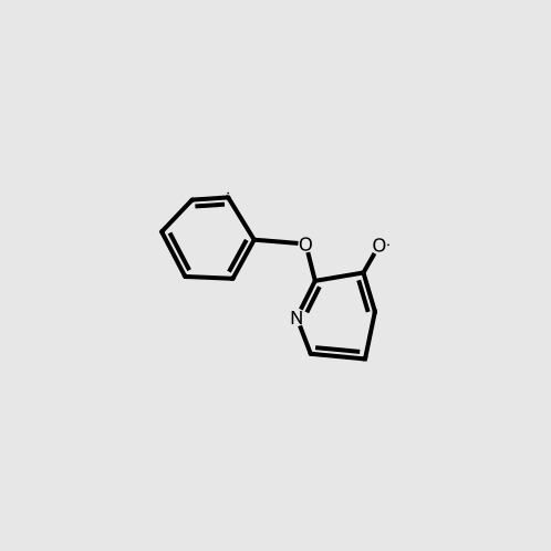 [O]c1cccnc1Oc1[c]cccc1